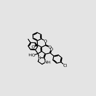 Cc1ccc(C2(O)/C(=C3/C(=O)Oc4ccccc4C3=O)C(C(=O)c3ccc(Cl)cc3)=C3NCCN32)cc1